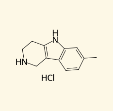 Cc1ccc2c3c([nH]c2c1)CCNC3.Cl